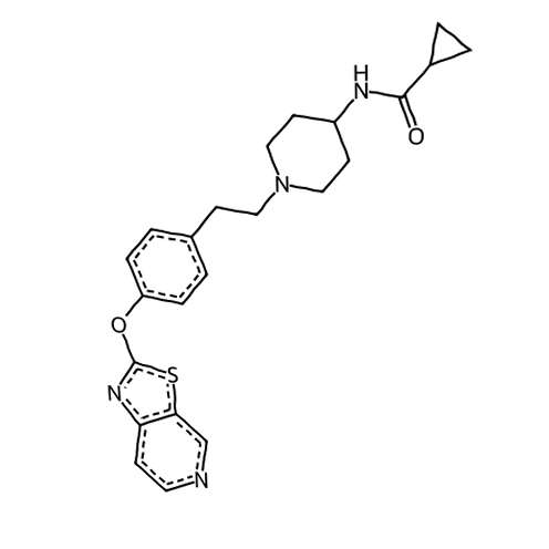 O=C(NC1CCN(CCc2ccc(Oc3nc4ccncc4s3)cc2)CC1)C1CC1